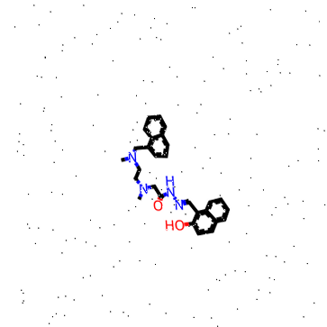 CN(CCN(C)Cc1cccc2ccccc12)CC(=O)N/N=C/c1c(O)ccc2ccccc12